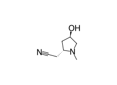 CN1C[C@H](O)C[C@H]1CC#N